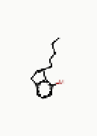 CCCCCC1=CCc2cccc(Br)c21